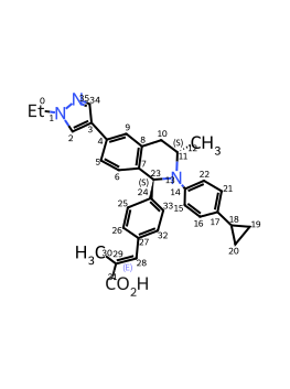 CCn1cc(-c2ccc3c(c2)C[C@H](C)N(c2ccc(C4CC4)cc2)[C@H]3c2ccc(/C=C(\C)C(=O)O)cc2)cn1